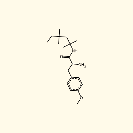 CCC(C)(C)CC(C)(C)NC(=O)C(N)Cc1ccc(OC)cc1